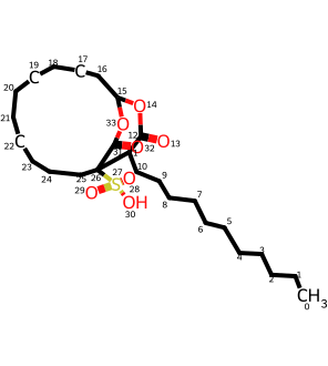 CCCCCCCCCCCC1C(=O)OC2CCCCCCCCCCC1(S(=O)(=O)O)C(=O)O2